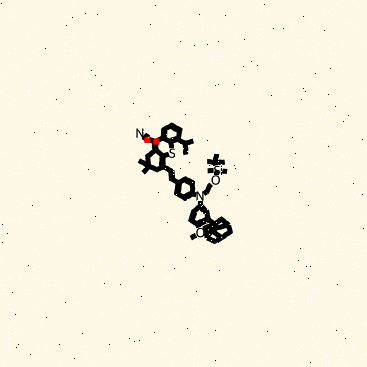 COc1ccc(N(CCO[Si](C)(C)C(C)(C)C)c2ccc(/C=C/C3=C(Sc4c(C(C)C)cccc4C(C)C)C(=C/C#N)/CC(C)(C)C3)cc2)cc1C12CC3CC(CC(C3)C1)C2